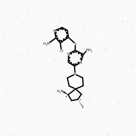 Nc1nc(N2CCC3(CC2)C[C@H](F)C[C@H]3N)cnc1Sc1ccnc(N)c1Cl